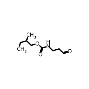 CCC(C)COC(=O)NCCC=O